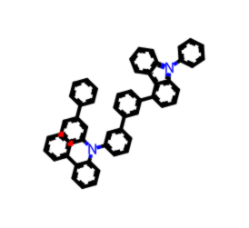 c1ccc(-c2cccc(N(c3cccc(-c4cccc(-c5cccc6c5c5ccccc5n6-c5ccccc5)c4)c3)c3ccccc3-c3ccccc3)c2)cc1